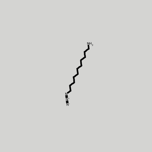 [N-]=[N+]=NCCCCCCCCCCCN